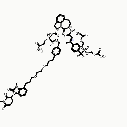 C/C(=C\C(=O)N[C@H]1CCc2cccc3c2N(C1=O)[C@H](C(=O)N[C@@H](CCC(N)=O)[C@@H](C)OCc1ccc(CCCOCCOCCCc2cccc4c2n(C)c(=O)n4C2CCC(=O)N(C)C2=O)cc1)C3)c1ccc(C(F)(F)P(=O)(OCOC(=O)C(C)(C)C)OCOC(=O)C(C)(C)C)cc1